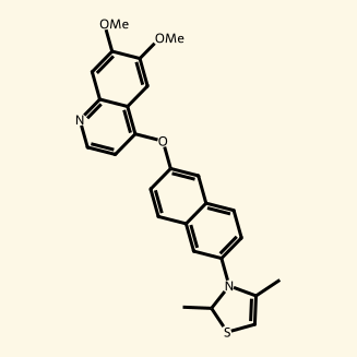 COc1cc2nccc(Oc3ccc4cc(N5C(C)=CSC5C)ccc4c3)c2cc1OC